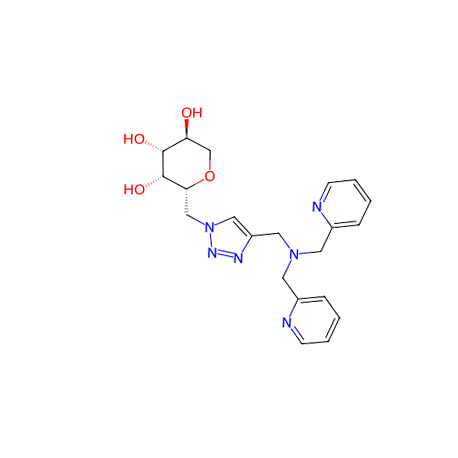 O[C@@H]1[C@H](O)[C@@H](O)CO[C@@H]1Cn1cc(CN(Cc2ccccn2)Cc2ccccn2)nn1